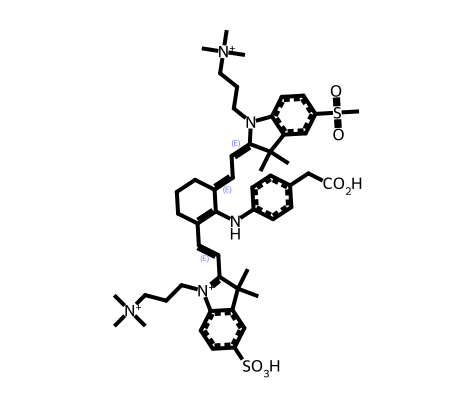 CC1(C)C(/C=C/C2=C(Nc3ccc(CC(=O)O)cc3)C(=C/C=C3/N(CCC[N+](C)(C)C)c4ccc(S(C)(=O)=O)cc4C3(C)C)/CCC2)=[N+](CCC[N+](C)(C)C)c2ccc(S(=O)(=O)O)cc21